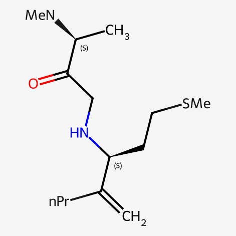 C=C(CCC)[C@H](CCSC)NCC(=O)[C@H](C)NC